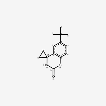 CC(C)(C)c1ccc2c(c1)C1(CC1)NC(=O)O2